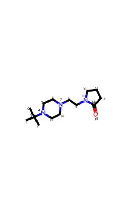 CC(C)(C)N1CCN(CCN2CCCC2=O)CC1